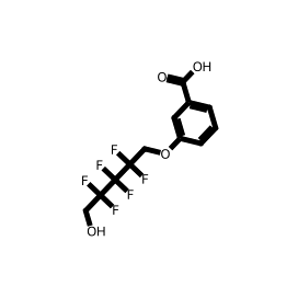 O=C(O)c1cccc(OCC(F)(F)C(F)(F)C(F)(F)CO)c1